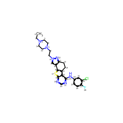 CCN1CCN(CCn2cc3c(n2)CCc2c-3sc3ncnc(Nc4ccc(F)c(Cl)c4)c23)CC1